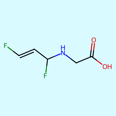 O=C(O)CNC(F)C=CF